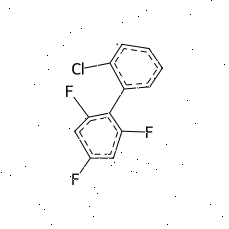 Fc1cc(F)c(-c2ccc[c]c2Cl)c(F)c1